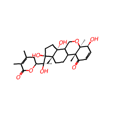 CC1=C(C)C(=O)OC([C@](C)(O)[C@]2(O)CC[C@@]3(O)C4CO[C@@]5(C)[C@@H](O)C=CC(=O)[C@]5(C)C4CC[C@]23C)C1